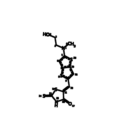 CN(CCO)c1cc2sc(/C=C3\SC(=S)NC3=O)cc2s1